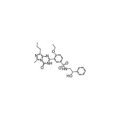 CCCc1nc(C)n2c(=O)[nH]c(-c3cc(S(=O)(=O)NCC(O)c4ccccc4)ccc3OCC)nc12